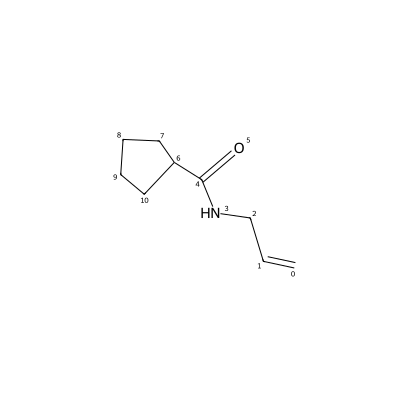 C=CCNC(=O)C1CCCC1